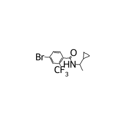 CC(NC(=O)c1ccc(Br)cc1C(F)(F)F)C1CC1